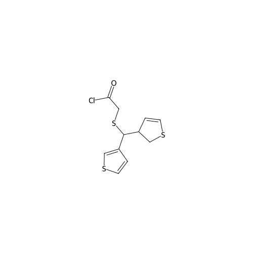 O=C(Cl)CSC(c1ccsc1)C1C=CSC1